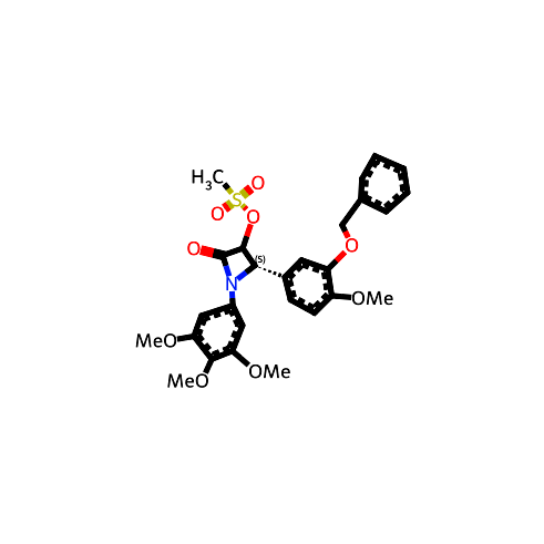 COc1ccc([C@H]2C(OS(C)(=O)=O)C(=O)N2c2cc(OC)c(OC)c(OC)c2)cc1OCc1ccccc1